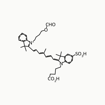 CC(/C=C/C=C1/N(CCCCC(=O)O)c2ccc(S(=O)(=O)O)cc2C1(C)C)=C\C=C\C1=[N+](CCCCOC=O)c2ccccc2C1(C)C